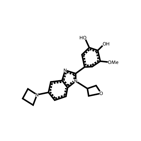 COc1cc(-c2nc3cc(N4CCC4)ccc3n2C2COC2)cc(O)c1O